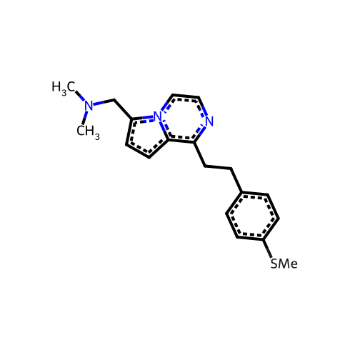 CSc1ccc(CCc2nccn3c(CN(C)C)ccc23)cc1